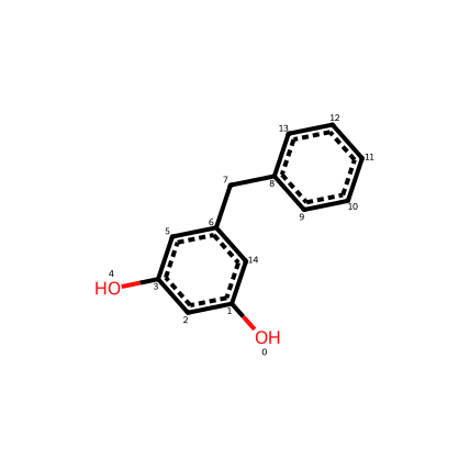 Oc1cc(O)cc(Cc2ccccc2)c1